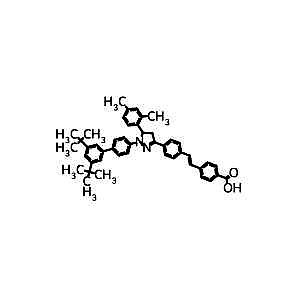 Cc1ccc(C2CC(c3ccc(/C=C/c4ccc(C(=O)O)cc4)cc3)=NN2c2ccc(-c3cc(C(C)(C)C)cc(C(C)(C)C)c3)cc2)c(C)c1